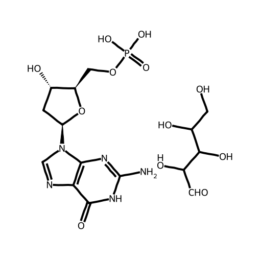 Nc1nc2c(ncn2[C@H]2C[C@H](O)[C@@H](COP(=O)(O)O)O2)c(=O)[nH]1.O=CC(O)C(O)C(O)CO